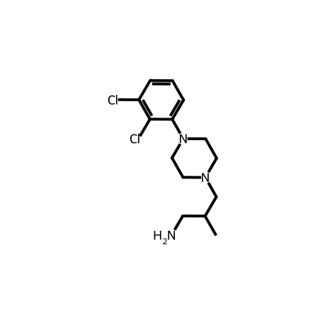 CC(CN)CN1CCN(c2cccc(Cl)c2Cl)CC1